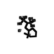 C[N+]1(C)CCCCC1CC(P(=O)(O)O)P(=O)(O)O.[Cl-]